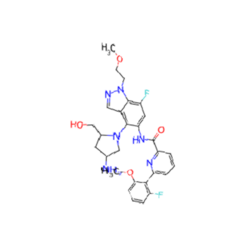 COCCn1ncc2c(N3CC(N)CC3CO)c(NC(=O)c3cccc(-c4c(F)cccc4OC)n3)cc(F)c21